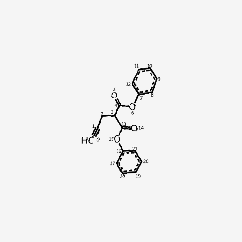 C#CCC(C(=O)Oc1ccccc1)C(=O)Oc1ccccc1